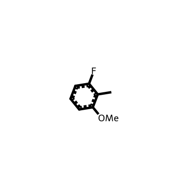 COc1cccc(F)c1C